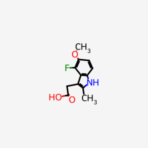 COc1ccc2[nH]c(C)c(CC(=O)O)c2c1F